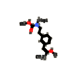 CCCCCCCN(CCc1cccc(/C=C(\OCC)C(=O)OCC)c1)C(=O)OC(C)(C)C